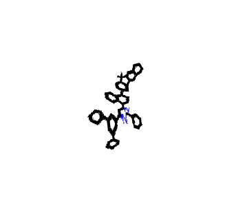 CC1(C)c2ccc(-c3ccc(-c4cc(-c5cc(-c6ccccc6)cc(-c6ccccc6)c5)nc(-c5ccccc5)n4)c4ccccc34)cc2-c2cc3ccccc3cc21